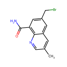 Cc1cnc2c(C(N)=O)cc(CBr)cc2c1